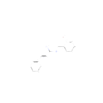 N=C(/C=C/c1ccccc1)NCc1ccccc1Br